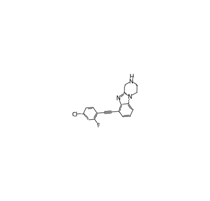 Fc1cc(Cl)ccc1C#Cc1cccc2c1nc1n2CCNC1